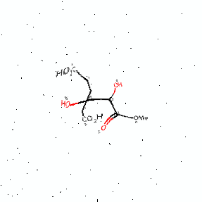 COC(=O)C(O)C(O)(CC(=O)O)C(=O)O